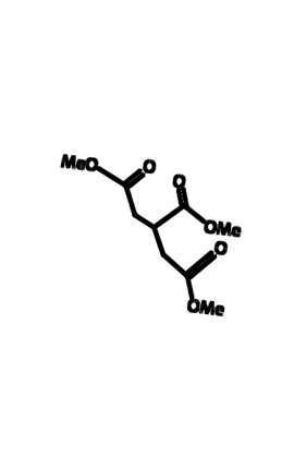 COC(=O)CC(CC(=O)OC)C(=O)OC